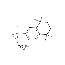 CCOC(=O)C1CC1(C)c1ccc2c(c1)C(C)(C)CCC2(C)C